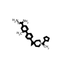 C=C(C1CCCC1)N1CCC2(CC1)CC2c1ccc(-c2ccc(/C(N)=N/N)cc2C)cc1